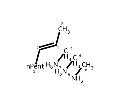 CC=CCCCCC.CN.CN.CN